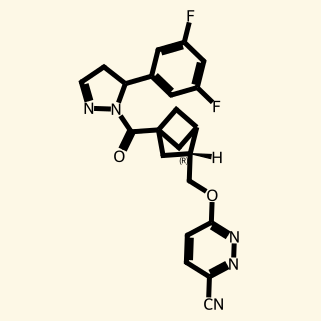 N#Cc1ccc(OC[C@@H]2CC3(C(=O)N4N=CCC4c4cc(F)cc(F)c4)CC2C3)nn1